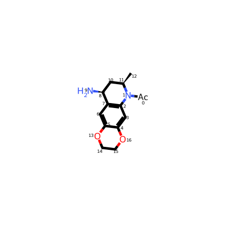 CC(=O)N1c2cc3c(cc2[C@@H](N)C[C@H]1C)OCCO3